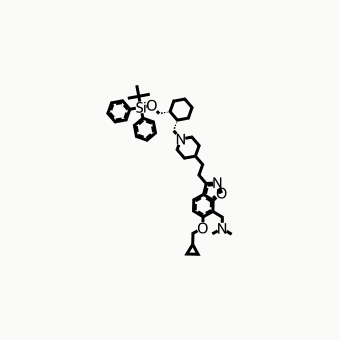 CN(C)Cc1c(OCC2CC2)ccc2c(CCC3CCN(C[C@H]4CCCC[C@H]4CO[Si](c4ccccc4)(c4ccccc4)C(C)(C)C)CC3)noc12